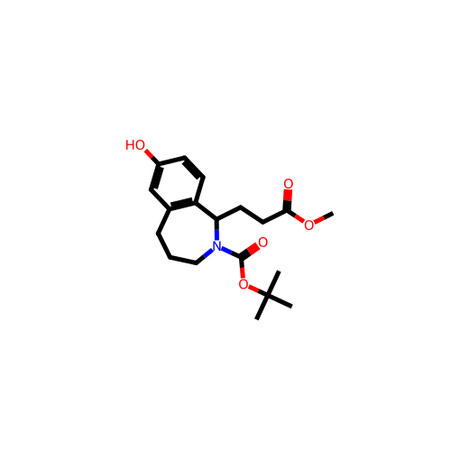 COC(=O)CCC1c2ccc(O)cc2CCCN1C(=O)OC(C)(C)C